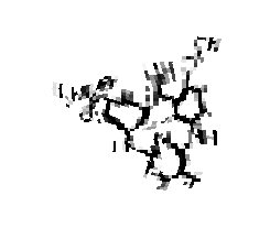 N#CCOc1ccc(Nc2nc(Nc3cccc(S(N)(=O)=O)c3)ncc2F)cc1CO